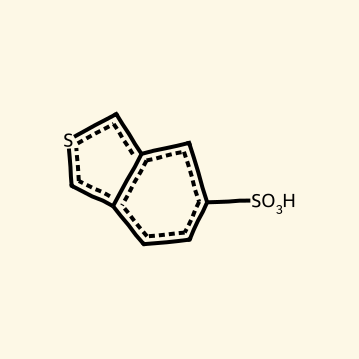 O=S(=O)(O)c1ccc2cscc2c1